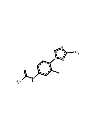 Cc1ncn(-c2ccc(NC(N)=S)cc2F)n1